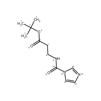 CC(C)(C)OC(=O)CCNC(=O)n1ccnc1